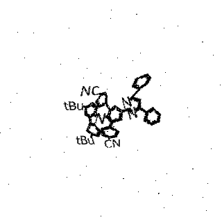 CC(C)(C)c1ccc2c(c1)c1cc(C(C)(C)C)ccc1n2-c1c(-c2ccc(C#N)cc2)cc(-c2nc(-c3ccccc3)cc(-c3ccccc3)n2)cc1-c1ccc(C#N)cc1